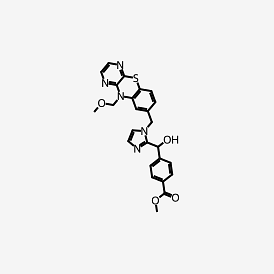 COCN1c2cc(Cn3ccnc3C(O)c3ccc(C(=O)OC)cc3)ccc2Sc2nccnc21